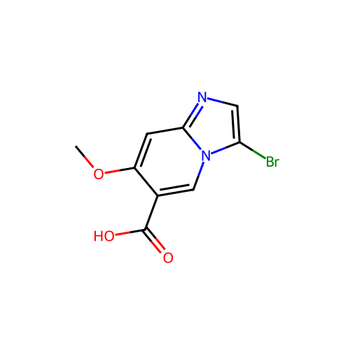 COc1cc2ncc(Br)n2cc1C(=O)O